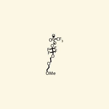 COCCOCCOC(F)(F)C(F)(F)OOS(=O)(=O)C(F)(F)F